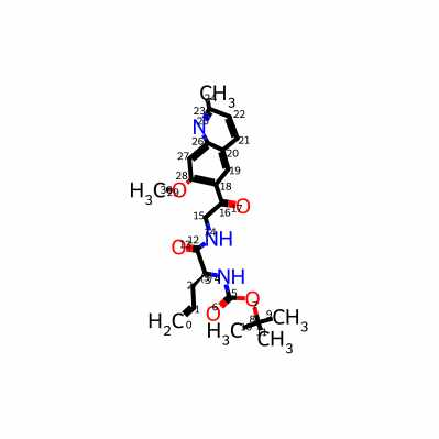 C=CC[C@H](NC(=O)OC(C)(C)C)C(=O)NCC(=O)c1cc2ccc(C)nc2cc1OC